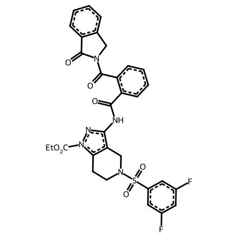 CCOC(=O)n1nc(NC(=O)c2ccccc2C(=O)N2Cc3ccccc3C2=O)c2c1CCN(S(=O)(=O)c1cc(F)cc(F)c1)C2